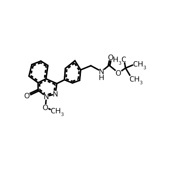 COn1nc(-c2ccc(CNC(=O)OC(C)(C)C)cc2)c2ccccc2c1=O